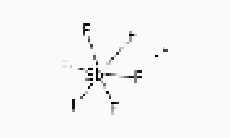 [F][Sb-]([F])([F])([F])([F])[F].[I+]